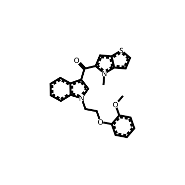 COc1ccccc1OCCn1cc(C(=O)c2cc3sccc3n2C)c2ccccc21